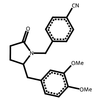 COc1ccc(CC2CCC(=O)N2Cc2ccc(C#N)cc2)cc1OC